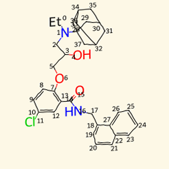 CCN(CC(O)COc1ccc(Cl)cc1C(=O)NCc1cccc2ccccc12)C12CC3CC(CC(C3)C1)C2